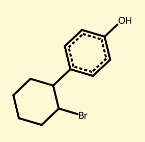 Oc1ccc(C2CCCCC2Br)cc1